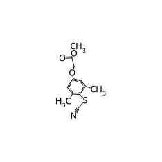 COC(=O)COc1cc(C)c(SC#N)c(C)c1